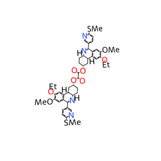 CCOc1cc2c(cc1OC)C(c1ccc(SC)nc1)=N[C@@H]1CC[C@@H](OC(=O)C(=O)O[C@@H]3CC[C@H]4N=C(c5ccc(SC)nc5)c5cc(OC)c(OCC)cc5[C@H]4C3)C[C@H]21